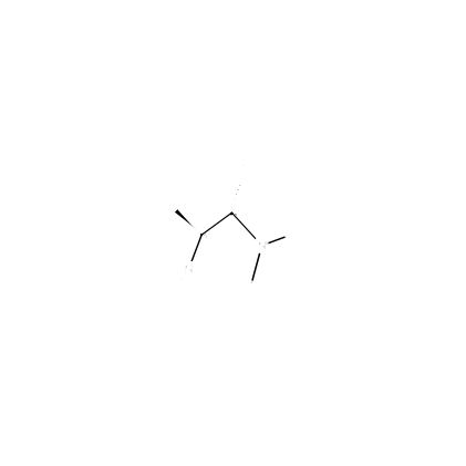 CCN(C=O)[C@@H](C)[C@H](C)N